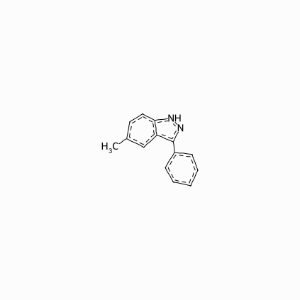 Cc1ccc2[nH]nc(-c3ccccc3)c2c1